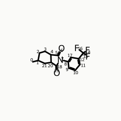 CC1CCC2C(=O)N(c3cccc(C(F)(F)F)c3)C(=O)C2C1